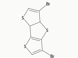 BrC1=CSC2c3scc(Br)c3SC12